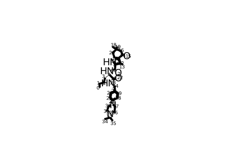 CCCC[C@H](NC(=O)c1[nH]c2c(c1C)C(=O)CC(C)(C)C2)C(=O)NCc1ccc(N2CCN(C(C)C)CC2)cc1